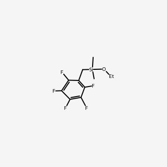 CCO[Si](C)(C)Cc1c(F)c(F)c(F)c(F)c1F